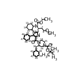 CCOC(=O)N(CCCOC)[C@H]1CCCC[C@@H]1n1cnc(C(=O)N2CCN(C(=O)OC(C)(C)C)C[C@H]2Cc2ccccc2)c1-c1ccccc1